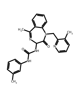 CC1=NC(NC(=O)Nc2cccc(C)c2)C(=O)N(Cc2ncccc2C)c2ccccc21